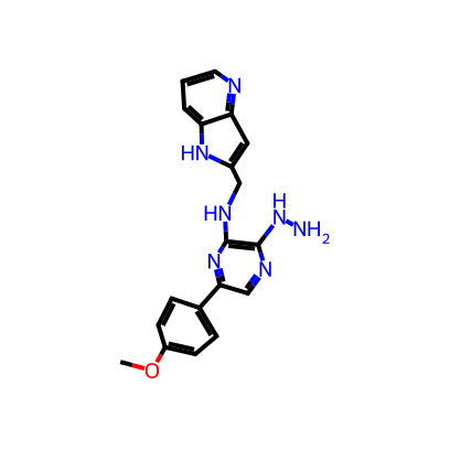 COc1ccc(-c2cnc(NN)c(NCc3cc4ncccc4[nH]3)n2)cc1